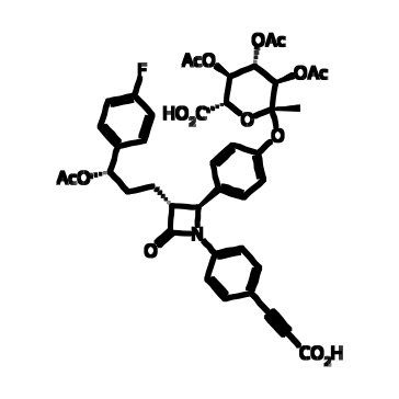 CC(=O)O[C@H]1[C@H](OC(C)=O)[C@@H](OC(C)=O)[C@](C)(Oc2ccc([C@@H]3[C@@H](CC[C@H](OC(C)=O)c4ccc(F)cc4)C(=O)N3c3ccc(C#CC(=O)O)cc3)cc2)O[C@@H]1C(=O)O